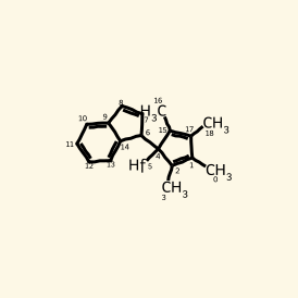 CC1=C(C)[C]([Hf])(C2C=Cc3ccccc32)C(C)=C1C